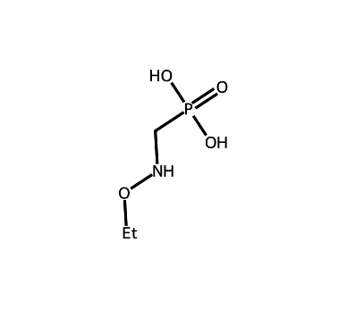 CCONCP(=O)(O)O